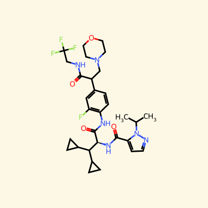 CC(C)n1nccc1C(=O)N[C@H](C(=O)Nc1ccc(C(CN2CCOCC2)C(=O)NCC(F)(F)F)cc1F)C(C1CC1)C1CC1